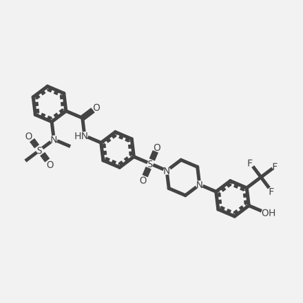 CN(c1ccccc1C(=O)Nc1ccc(S(=O)(=O)N2CCN(c3ccc(O)c(C(F)(F)F)c3)CC2)cc1)S(C)(=O)=O